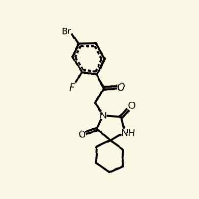 O=C(CN1C(=O)NC2(CCCCC2)C1=O)c1ccc(Br)cc1F